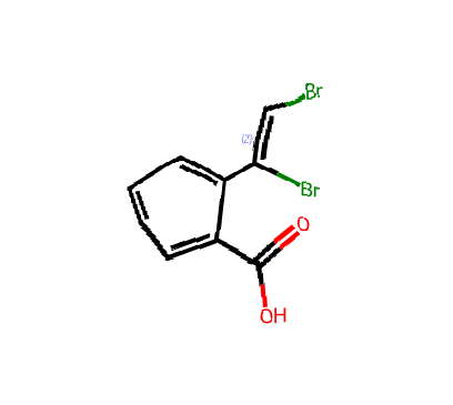 O=C(O)c1ccccc1/C(Br)=C/Br